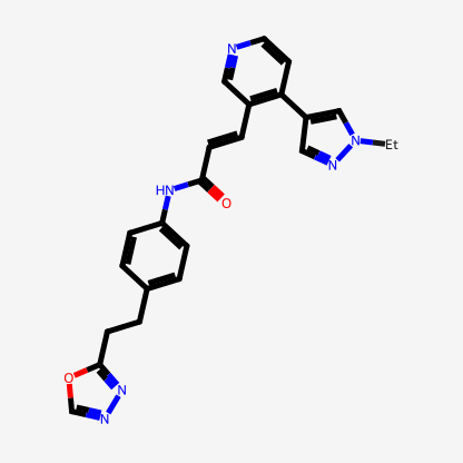 CCn1cc(-c2ccncc2/C=C/C(=O)Nc2ccc(CCc3nnco3)cc2)cn1